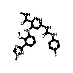 CNC(=O)c1nnc(NC(=O)Nc2ccc(F)cc2)cc1Nc1cccc(-c2ncn(C)n2)c1OC